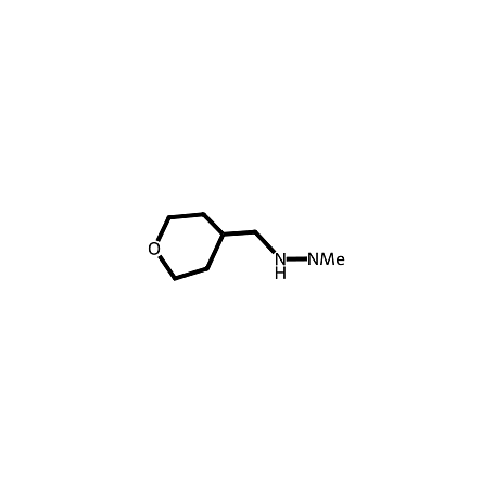 CNNCC1CCOCC1